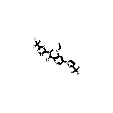 CCSc1cc(-n2ccc(C(F)(F)F)n2)cnc1C(=O)N(C)c1nnc(C(F)(F)F)s1